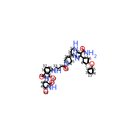 NC(=O)c1c(-c2ccc(Oc3ccccc3)cc2)nn2c1NCC[C@H]2C1CCN(C(=O)CCCNc2cccc3c2C(=O)N(C2CCC(=O)NC2=O)C3=O)CC1